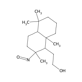 CC1(C)CCCC2(C)C1CCC(C)(N=O)C2CCO